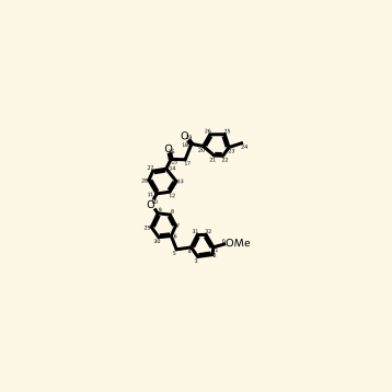 COc1ccc(Cc2ccc(Oc3ccc(C(=O)CC(=O)c4ccc(C)cc4)cc3)cc2)cc1